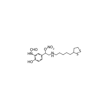 O=CNc1cc(C(CNCCCCCC2CCSS2)O[N+](=O)[O-])ccc1O